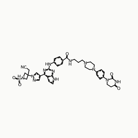 N#CCC1(n2cc(-c3nc(Nc4ccc(C(=O)NCCCN5CCN(c6ccc(N7CCC(=O)NC7=O)cc6)CC5)cc4)nc4[nH]ccc34)cn2)CN([SH](=O)=O)C1